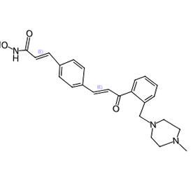 CN1CCN(Cc2ccccc2C(=O)/C=C/c2ccc(/C=C/C(=O)NO)cc2)CC1